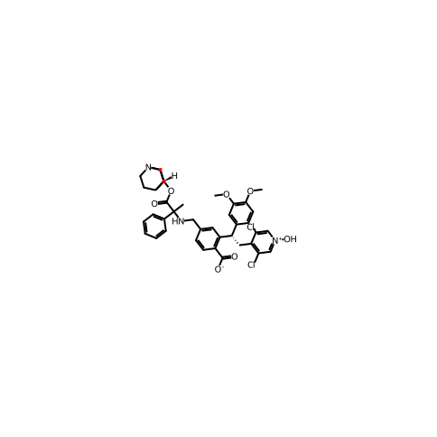 COc1ccc([C@H](Cc2c(Cl)c[n+](O)cc2Cl)c2cc(CNC(C)(C(=O)O[C@H]3CN4CCC3CC4)c3ccccc3)ccc2C(=O)[O-])cc1OC